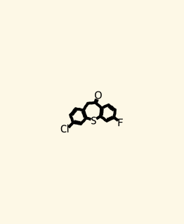 O=C1Cc2ccc(Cl)cc2Sc2cc(F)ccc21